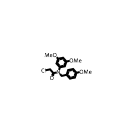 COc1ccc(CN(C(=O)CCl)c2cc(OC)cc(OC)c2)cc1